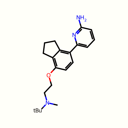 CN(CCOc1ccc(-c2cccc(N)n2)c2c1CCC2)C(C)(C)C